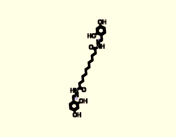 O=C(CCCCCCCCCCC(=O)N/N=C/c1ccc(O)cc1O)N/N=C/c1ccc(O)cc1O